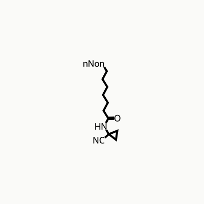 CCCCCCCCCCCCCCCC(=O)NC1(C#N)CC1